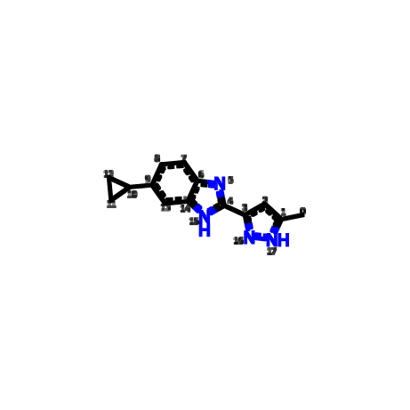 Cc1cc(-c2nc3ccc(C4CC4)cc3[nH]2)n[nH]1